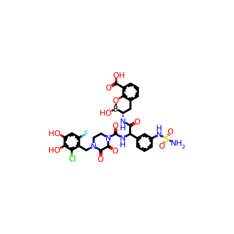 NS(=O)(=O)Nc1cccc(C(NC(=O)N2CCN(Cc3c(F)cc(O)c(O)c3Cl)C(=O)C2=O)C(=O)N[C@H]2Cc3cccc(C(=O)O)c3OB2O)c1